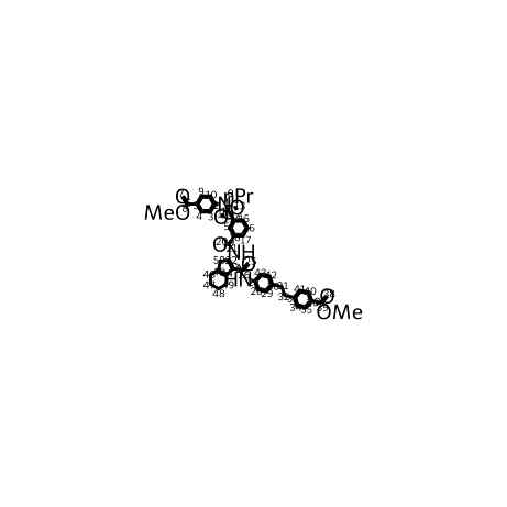 CCCN(c1ccc(C(=O)OC)cc1)S(=O)(=O)c1cccc(C(=O)NC2=C(C(=O)Nc3ccc(CCc4ccc(C(=O)OC)cc4)cc3)C3=C(CCCC3)C2)c1